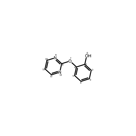 Oc1ccccc1Oc1ncccn1